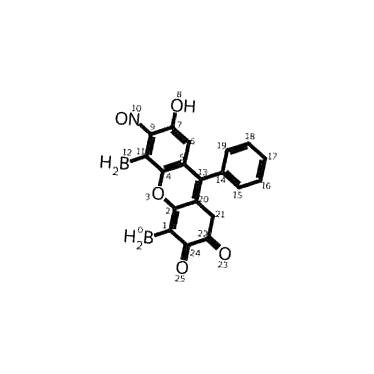 BC1=C2Oc3c(cc(O)c(N=O)c3B)C(c3ccccc3)=C2CC(=O)C1=O